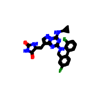 O=C1NC(=O)/C(=C/c2cnn3c(NC4CC4)nc(NCc4cc(F)ccc4-c4cccc(F)c4)nc23)N1